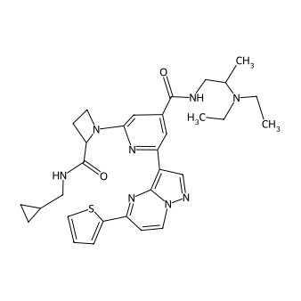 CCN(CC)C(C)CNC(=O)c1cc(-c2cnn3ccc(-c4cccs4)nc23)nc(N2CCC2C(=O)NCC2CC2)c1